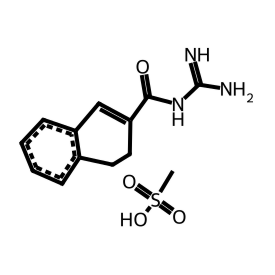 CS(=O)(=O)O.N=C(N)NC(=O)C1=Cc2ccccc2CC1